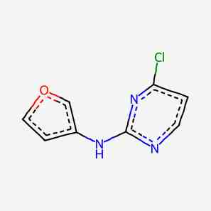 Clc1ccnc(Nc2ccoc2)n1